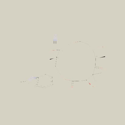 Cc1nc2cc([C@@H]3C[C@@H]4O[C@@]4(C#N)COC[C@H](C)[C@H](O)[C@@H](C)C(=O)C(C)(C)[C@@H](O)CC(=O)O3)ccc2s1